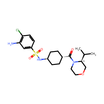 CC(C)[C@H]1COCCN1C(=O)[C@H]1CC[C@H](NS(=O)(=O)c2ccc(Cl)c(N)c2)CC1